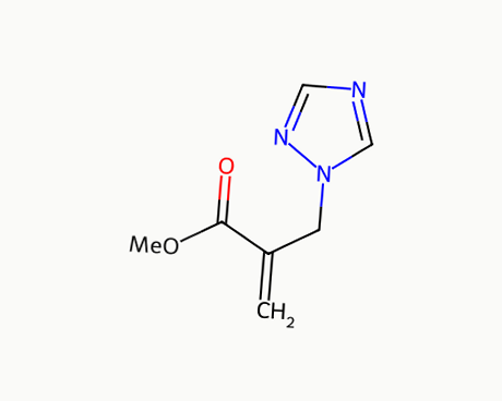 C=C(Cn1cncn1)C(=O)OC